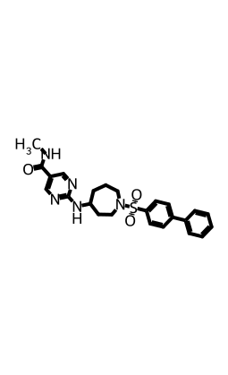 CNC(=O)c1cnc(NC2CCCN(S(=O)(=O)c3ccc(-c4ccccc4)cc3)CC2)nc1